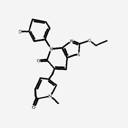 CCOc1nc2c(cc(-c3ccc(=O)n(C)c3)c(=O)n2-c2cccc(Cl)c2)s1